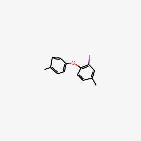 Cc1ccc(Oc2ccc(C)cc2I)cc1